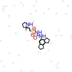 C[C@@]1(/C=C/S(=O)(=O)NC(=O)Nc2cc3c(c4c2CCC4)CCC3)CCCN1